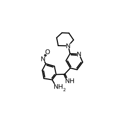 N=C(c1ccnc(N2CCCCC2)c1)c1cc(N=O)ccc1N